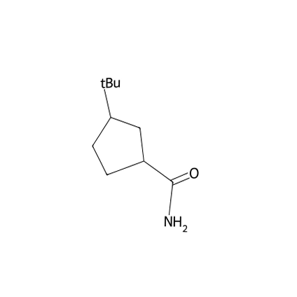 CC(C)(C)C1CCC(C(N)=O)C1